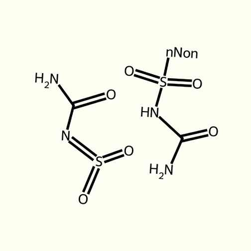 CCCCCCCCCS(=O)(=O)NC(N)=O.NC(=O)N=S(=O)=O